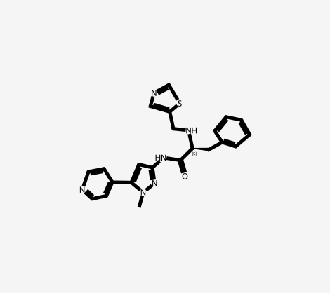 Cn1nc(NC(=O)[C@H](Cc2ccccc2)NCc2cncs2)cc1-c1ccncc1